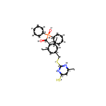 Cc1cc(S)nc(SCc2cc(C)c(C(=O)P(=O)(c3ccccc3)c3ccccc3)c(C)c2)n1